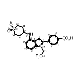 O=C(O)c1ccc(-c2cc3c(NC4CCS(=O)(=O)CC4)cccc3n2CC(F)(F)F)cc1